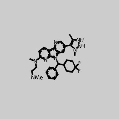 CNCCN(C)c1ccc2c3ncc(C4=C(C)NNN4C)cc3n(C(c3ccccc3)C3CCC(F)(F)CC3)c2n1